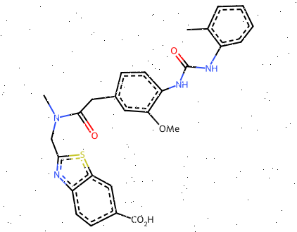 COc1cc(CC(=O)N(C)Cc2nc3ccc(C(=O)O)cc3s2)ccc1NC(=O)Nc1ccccc1C